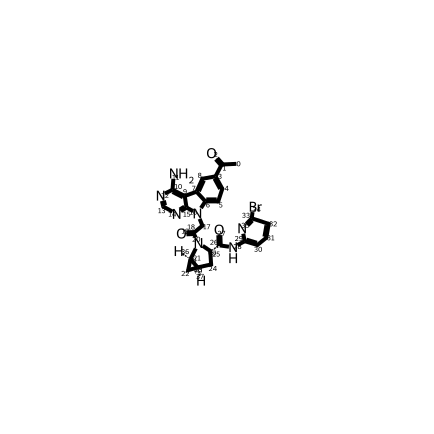 CC(=O)c1ccc2c(c1)c1c(N)ncnc1n2CC(=O)N1[C@@H]2C[C@@H]2C[C@H]1C(=O)Nc1cccc(Br)n1